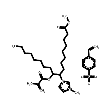 C=C(C)C(=O)OC(CCCCCCCC)C(CCCCCCCC(=O)OC)n1cc[n+](C)c1.C=Cc1ccc(S(=O)(=O)[O-])cc1